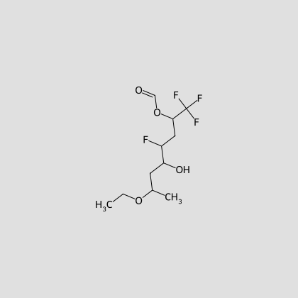 CCOC(C)CC(O)C(F)CC(OC=O)C(F)(F)F